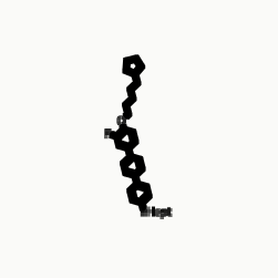 CCCCCCCc1ccc(-c2ccc(-c3ccc(OCCCCCC4CCCC4)c(F)c3)cc2)cc1